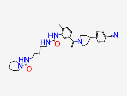 C=C(c1ccc(C)c(NC(=O)NCCCCCNC(=O)N2CCCCC2)c1)N1CCC(c2ccc(C#N)cc2)CC1